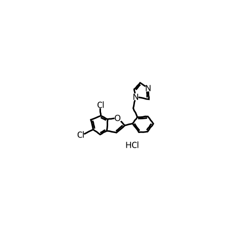 Cl.Clc1cc(Cl)c2oc(-c3ccccc3Cn3ccnc3)cc2c1